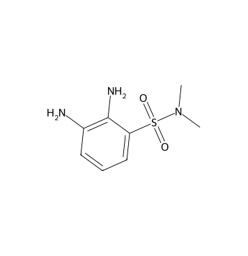 CN(C)S(=O)(=O)c1cccc(N)c1N